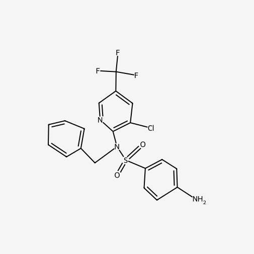 Nc1ccc(S(=O)(=O)N(Cc2ccccc2)c2ncc(C(F)(F)F)cc2Cl)cc1